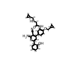 N#Cc1c(-c2ccc(OCC3CC3)c(NC(=O)CNCC3CC3)c2)cc(-c2ccccc2O)nc1N